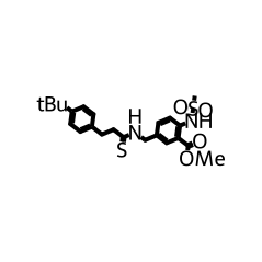 COC(=O)c1cc(CNC(=S)CCc2ccc(C(C)(C)C)cc2)ccc1NS(C)(=O)=O